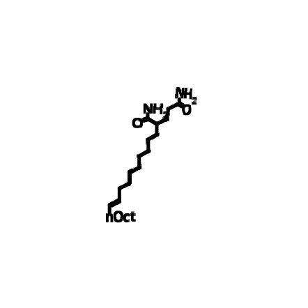 CCCCCCCCC=CCCCCCCCCC(CCC(N)=O)C(N)=O